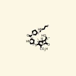 C[C@@H](O)[C@H]1C(=O)N2C(C(=O)O)=C(S[C@@H]3CN[C@H](C(=O)N4CC[C@H](CNCCF)C4)C3)[C@H](C)[C@H]12